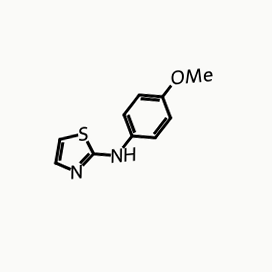 COc1ccc(Nc2nccs2)cc1